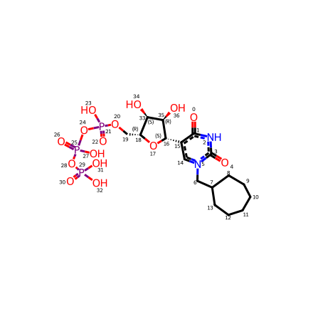 O=c1[nH]c(=O)n(CC2CCCCCC2)cc1[C@@H]1O[C@H](COP(=O)(O)OP(=O)(O)OP(=O)(O)O)[C@@H](O)[C@H]1O